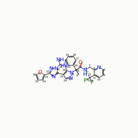 C[C@](C(=O)NCc1ncccc1C(F)(F)F)(c1ccccc1)n1ncc2c1nc(N)n1nc(-c3ccco3)nc21